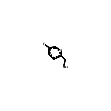 [CH2]C(C)(C)Cc1ccc(F)cn1